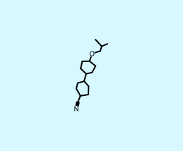 CC(C)COC1CCC(C2CCC(C#N)CC2)CC1